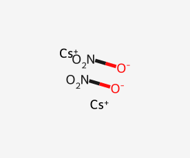 O=[N+]([O-])[O-].O=[N+]([O-])[O-].[Cs+].[Cs+]